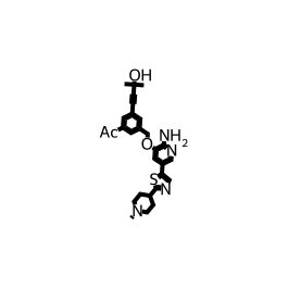 CC(=O)c1cc(C#CC(C)(C)O)cc(COc2cc(-c3cnc(C4CCN(C)CC4)s3)cnc2N)c1